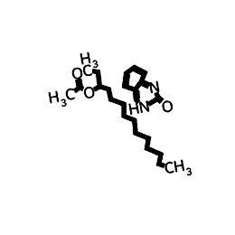 CCCCCCCCCCCC(CC)OC(C)=O.O=c1nc2ccccc2c[nH]1